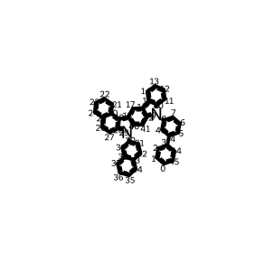 c1ccc(-c2cccc(-n3c4ccccc4c4cc5c6c7ccccc7ccc6n(-c6ccc7ccccc7c6)c5cc43)c2)cc1